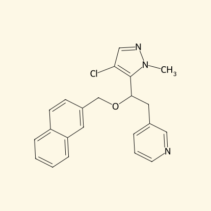 Cn1ncc(Cl)c1C(Cc1cccnc1)OCc1ccc2ccccc2c1